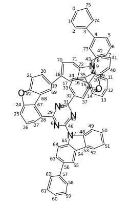 c1ccc(-c2cccc(-n3c4ccccc4c4cc(-c5ccc6oc7cccc(-c8nc(-c9ccc%10c(c9)oc9ccccc9%10)nc(-n9c%10ccccc%10c%10cc(-c%11ccccc%11)ccc%109)n8)c7c6c5)ccc43)c2)cc1